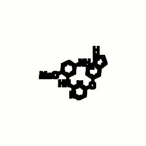 COc1ccc(N)cc1Nc1nccc(Oc2ccc3[nH]ccc3c2)n1